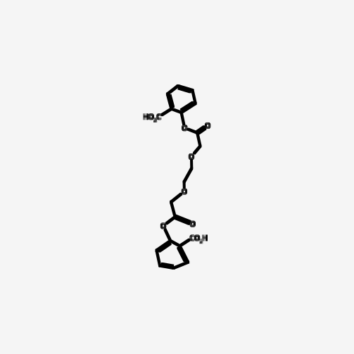 O=C(COCCOCC(=O)Oc1ccccc1C(=O)O)Oc1ccccc1C(=O)O